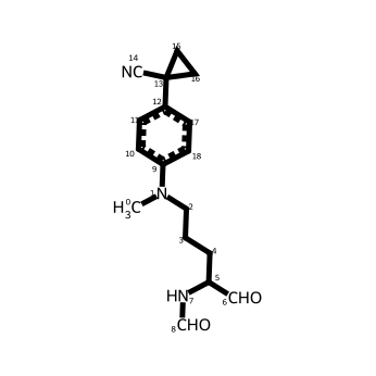 CN(CCCC(C=O)NC=O)c1ccc(C2(C#N)CC2)cc1